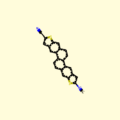 [C-]#[N+]c1cc2cc3c(ccc4c5cc6cc(C#N)sc6cc5ccc34)cc2s1